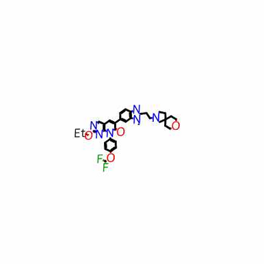 CCOc1ncc2cc(-c3ccc4nc(CCN5CCC6(CCOCC6)C5)n(C)c4c3)c(=O)n(-c3ccc(OC(F)F)cc3)c2n1